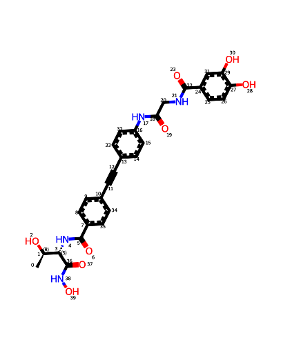 C[C@@H](O)[C@H](NC(=O)c1ccc(C#Cc2ccc(NC(=O)CNC(=O)c3ccc(O)c(O)c3)cc2)cc1)C(=O)NO